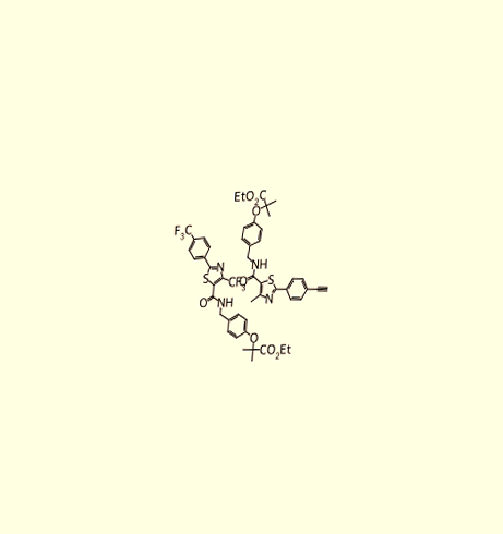 C#Cc1ccc(-c2nc(C)c(C(=O)NCc3ccc(OC(C)(C)C(=O)OCC)cc3)s2)cc1.CCOC(=O)C(C)(C)Oc1ccc(CNC(=O)c2sc(-c3ccc(C(F)(F)F)cc3)nc2C(F)(F)F)cc1